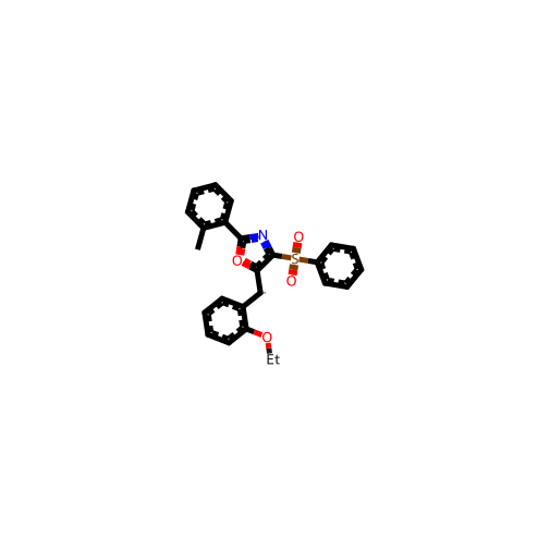 CCOc1ccccc1[CH]c1oc(-c2ccccc2C)nc1S(=O)(=O)c1ccccc1